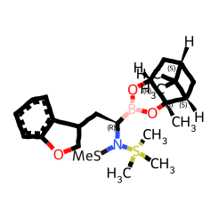 CSN([C@@H](CC1COc2ccccc21)B1O[C@@H]2C[C@@H]3C[C@@H](C3(C)C)[C@]2(C)O1)S(C)(C)C